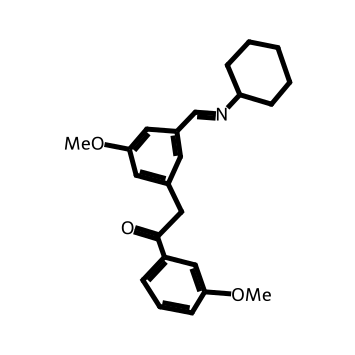 COc1cc(/C=N/C2CCCCC2)cc(CC(=O)c2cccc(OC)c2)c1